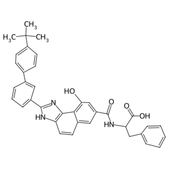 CC(C)(C)c1ccc(-c2cccc(-c3nc4c(ccc5cc(C(=O)NC(Cc6ccccc6)C(=O)O)cc(O)c54)[nH]3)c2)cc1